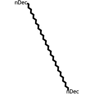 CCCCCCCCCCCCCCCCCCCCCCCCCCCCCCCCCCCCCCCCCCCCCCCCCCCCC